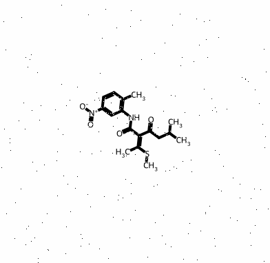 CS/C(C)=C(\C(=O)CC(C)C)C(=O)Nc1cc([N+](=O)[O-])ccc1C